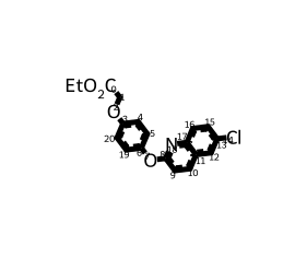 CCOC(=O)COc1ccc(Oc2ccc3cc(Cl)ccc3n2)cc1